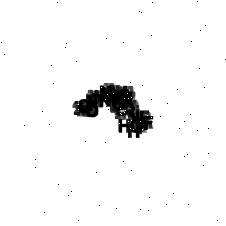 Cc1ccc2c(NC[C@@H](O)C(F)(F)F)cccc2c1Oc1ncccc1-c1ccnc(N[C@H]2CCCN(C(=O)OC(C)(C)C)C2)n1